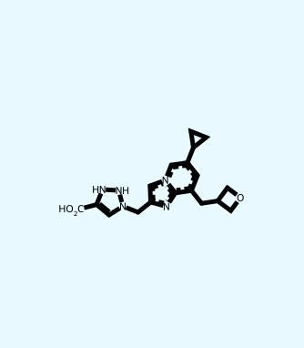 O=C(O)C1=CN(Cc2cn3cc(C4CC4)cc(CC4COC4)c3n2)NN1